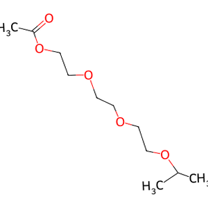 CC(=O)OCCOCCOCCOC(C)C